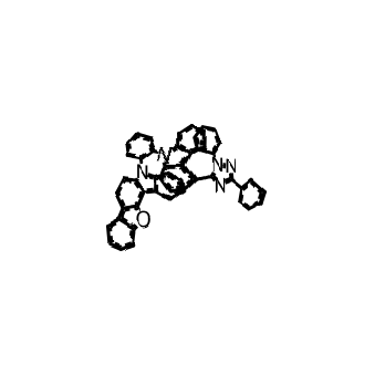 c1ccc(-c2nc(-c3cccc4c3c3ccccc3n4-c3ccccc3-n3c4ccccc4c4c5oc6ccccc6c5ccc43)n(-c3ccccc3)n2)cc1